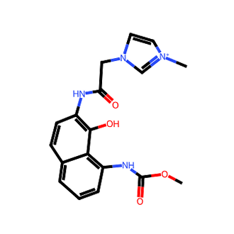 COC(=O)Nc1cccc2ccc(NC(=O)Cn3cc[n+](C)c3)c(O)c12